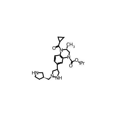 CC(C)OC(=O)N1C[C@H](C)N(C(=O)C2CC2)c2ccc(C3CNN(C[C@H]4CCNC4)C3)cc21